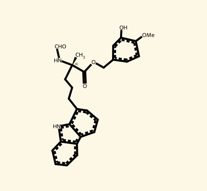 COc1ccc(COC(=O)[C@](C)(CCCc2cccc3c2[nH]c2ccccc23)NC=O)cc1O